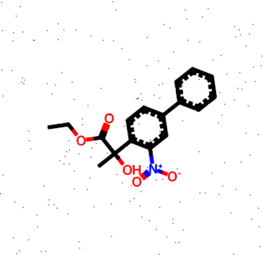 CCOC(=O)C(C)(O)c1ccc(-c2ccccc2)cc1[N+](=O)[O-]